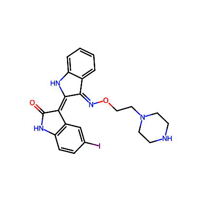 O=C1Nc2ccc(I)cc2/C1=C1/Nc2ccccc2/C1=N\OCCN1CCNCC1